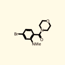 CNc1cc(Br)ccc1C(=O)N1CCOCC1